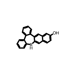 Oc1ccc2cc3c(cc2c1)-c1ccccc1-c1ccccc1B3